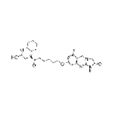 Cc1cc(OCCCCCC(=O)N(CC(=O)O)C2CCCCC2)cc2c1CN1CC(=O)NC1=N2